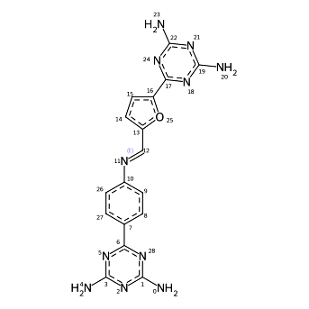 Nc1nc(N)nc(-c2ccc(/N=C/c3ccc(-c4nc(N)nc(N)n4)o3)cc2)n1